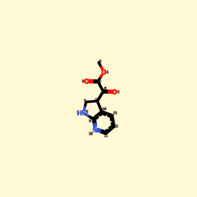 COC(=O)C(=O)C1CNc2ncccc21